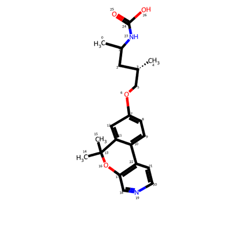 CC(C[C@H](C)COc1ccc2c(c1)C(C)(C)Oc1cnccc1-2)NC(=O)O